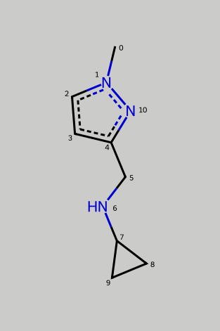 Cn1ccc(CNC2CC2)n1